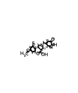 COc1ccc([C@@H]2CN(Cc3cn[nH]c(=O)c3)C[C@H]2C(=O)O)c(F)c1